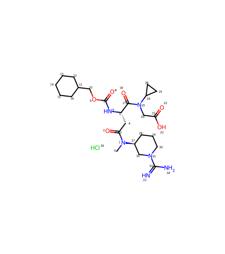 CN(C(=O)C[C@H](NC(=O)OCC1CCCCC1)C(=O)N(CC(=O)O)C1CC1)[C@H]1CCCN(C(=N)N)C1.Cl